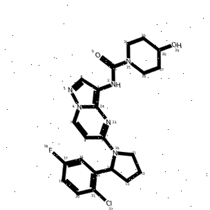 O=C(Nc1cnn2ccc(N3CCCC3c3cc(F)ccc3Cl)nc12)N1CCC(O)CC1